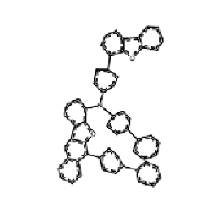 c1ccc(-c2ccc(-c3c4ccccc4cc4c3oc3c(N(c5ccc(-c6ccccc6)cc5)c5ccc(-c6cccc7c6oc6ccccc67)cc5)cccc34)cc2)cc1